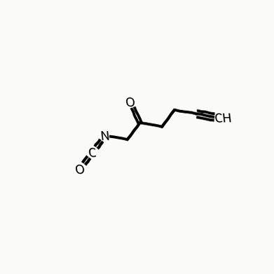 C#CCCC(=O)CN=C=O